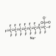 O=S(=O)([O-])[13C](F)(F)[13C](F)(F)[13C](F)(F)[13C](F)(F)[13C](F)(F)[13C](F)(F)[13C](F)(F)[13C](F)(F)F.[Na+]